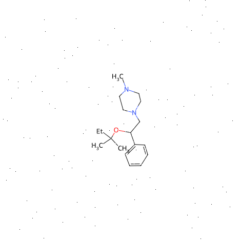 CCC(C)(C)OC(CN1CCN(C)CC1)c1ccccc1